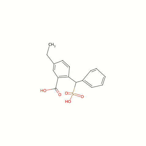 CCc1ccc(C(c2ccccc2)S(=O)(=O)O)c(C(=O)O)c1